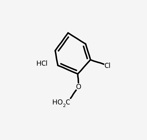 Cl.O=C(O)Oc1ccccc1Cl